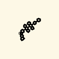 c1ccc(-c2ccc(-c3c4ccccc4c(-c4c5ccccc5c(-c5ccc6oc7cc8ccccc8cc7c6c5)c5ccccc45)c4ccccc34)cc2)cc1